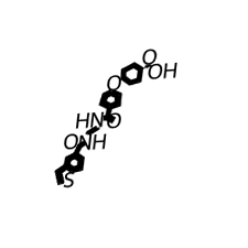 O=C(NCCNC(=O)c1ccc2sccc2c1)c1ccc(O[C@H]2CC[C@@H](C(=O)O)CC2)cc1